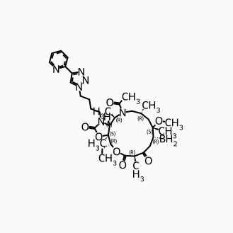 B[C@@H]1CC(=O)[C@@H](C)C(=O)O[C@H](CC)[C@@]2(C)OC(=O)N(CCCCn3cc(-c4ccccn4)nn3)[C@@H]2[C@@H](C)N(C(C)=O)C[C@H](C)C[C@]1(C)OC